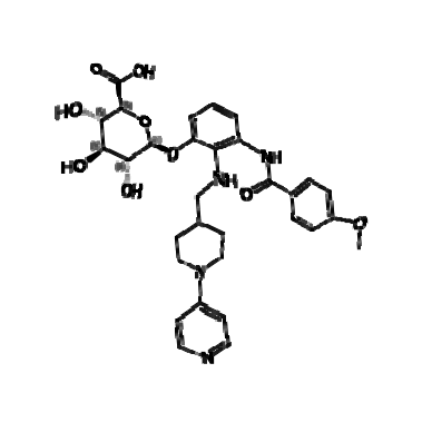 COc1ccc(C(=O)Nc2cccc(O[C@@H]3O[C@H](C(=O)O)[C@@H](O)[C@H](O)[C@H]3O)c2NCC2CCN(c3ccncc3)CC2)cc1